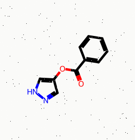 O=C(Oc1cn[nH]c1)c1ccccc1